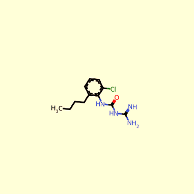 CCCCc1cccc(Cl)c1NC(=O)NC(=N)N